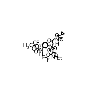 CCn1cc(S(=O)(=O)N2CC(CNS(=O)(=O)C3CC3)Oc3ccc(NC(=O)OC(C)(C)C(F)(F)F)cc32)c(OC(F)F)n1